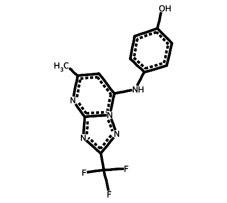 Cc1cc(Nc2ccc(O)cc2)n2nc(C(F)(F)F)nc2n1